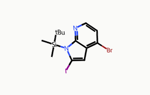 CC(C)(C)[Si](C)(C)n1c(I)cc2c(Br)ccnc21